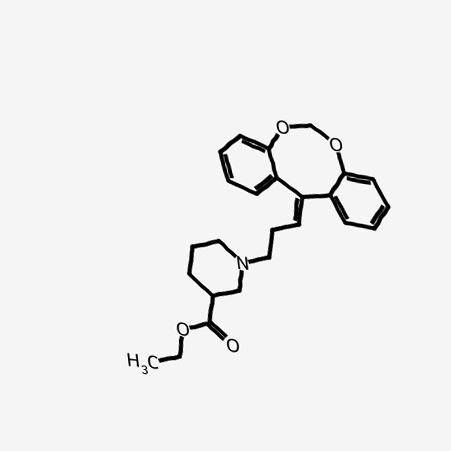 CCOC(=O)C1CCCN(CCC=C2c3ccccc3OCOc3ccccc32)C1